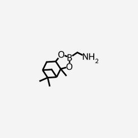 CC1(C)C2CC3OB(CN)OC3(C)C1C2